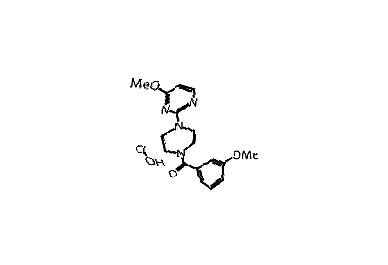 COc1cccc(C(=O)N2CCN(c3nccc(OC)n3)CC2)c1.OCl